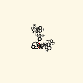 C=C(C)[C@H](NC(=O)OC)C(=O)N1[C@H](c2nc3cc(C4=C5CCc6ccc(c(-c7ccc8[nH]c([C@@H]9C[C@@H]%10CCCC[C@@H]%10N9C(=O)[C@@H](NC(=O)OC)C(C)C)nc8c7)c6)C[C@@H](C)[C@H](CC5)C4)ccc3[nH]2)C[C@@H]2CCCC[C@@H]21